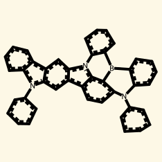 c1ccc(N2c3ccccc3B3c4ccccc4-n4c5cc6c7ccccc7n(-c7ccccc7)c6cc5c5ccc2c3c54)cc1